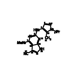 CNc1nc(Nc2cnn(C(C)C)c2C)nc2[nH]cc(C#N)c12